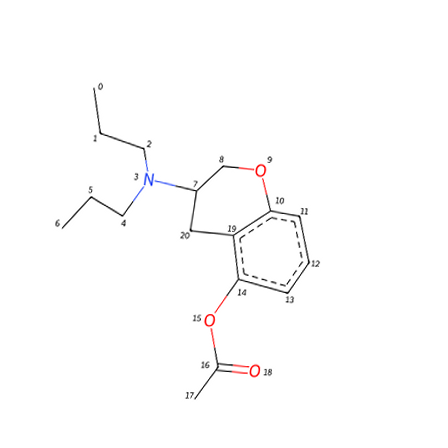 CCCN(CCC)C1COc2cccc(OC(C)=O)c2C1